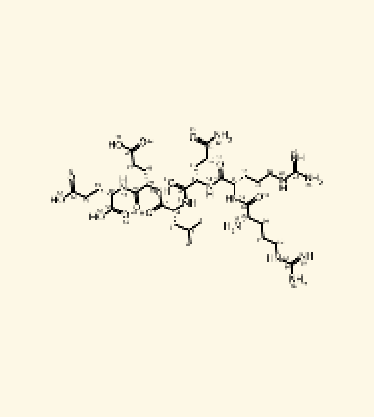 CC(C)C[C@@H](NC(=O)[C@H](CCC(N)=O)NC(=O)[C@H](CCCNC(=N)N)NC(=O)[C@@H](N)CCCNC(=N)N)C(=O)N[C@@H](CCC(=O)O)C(=O)N[C@@H](CCC(=O)O)C(=O)O